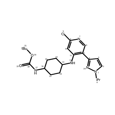 CC(C)n1ccc(-c2cnc(Cl)cc2NC2CCC(NC(=O)OC(C)(C)C)CC2)n1